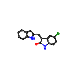 O=C1Nc2ccc(Br)cc2C1=Cc1cc2ccccc2[nH]1